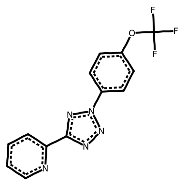 FC(F)(F)Oc1ccc(-n2nnc(-c3ccccn3)n2)cc1